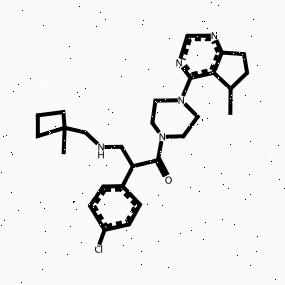 CC1CCc2ncnc(N3CCN(C(=O)C(CNCC4(C)CCC4)c4ccc(Cl)cc4)CC3)c21